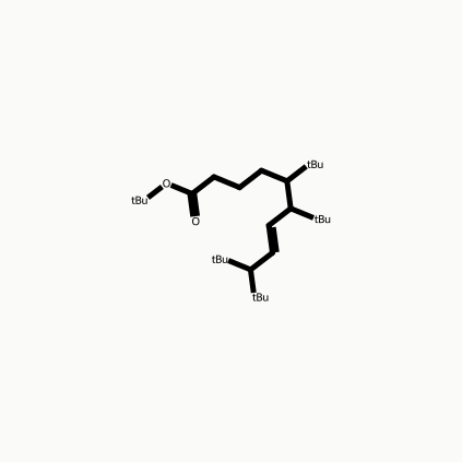 CC(C)(C)OC(=O)CCCC(C(C=CC(C(C)(C)C)C(C)(C)C)C(C)(C)C)C(C)(C)C